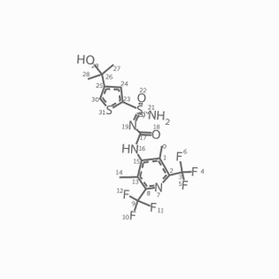 Cc1c(C(F)(F)F)nc(C(F)(F)F)c(C)c1NC(=O)N=[S@](N)(=O)c1cc(C(C)(C)O)cs1